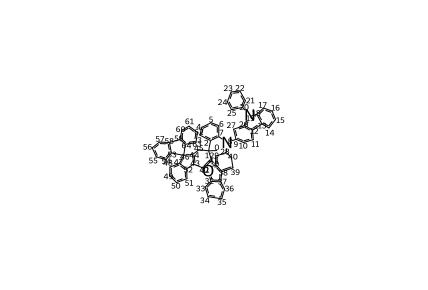 CC1(c2ccccc2N(c2ccc3c4ccccc4n(-c4ccccc4)c3c2)C2C=c3oc4ccccc4c3=CC2)C=CC2=C(C1)C1(c3ccccc32)c2ccccc2-c2ccccc21